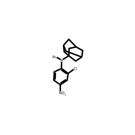 CC(=O)N(c1ccc([N+](=O)[O-])cc1Cl)C12CC3CC(CC(C3)C1)C2